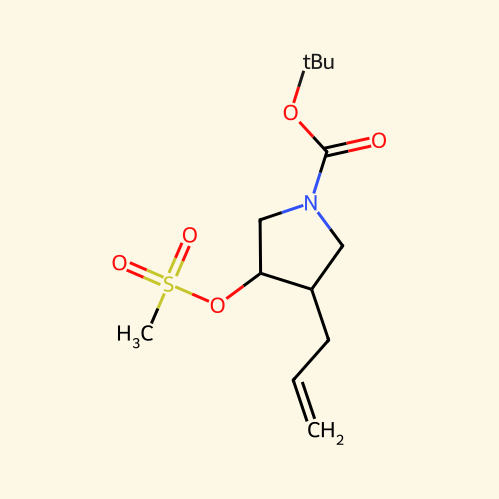 C=CCC1CN(C(=O)OC(C)(C)C)CC1OS(C)(=O)=O